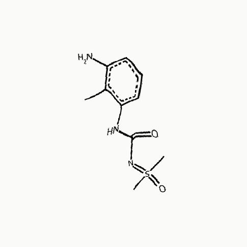 Cc1c(N)cccc1NC(=O)N=S(C)(C)=O